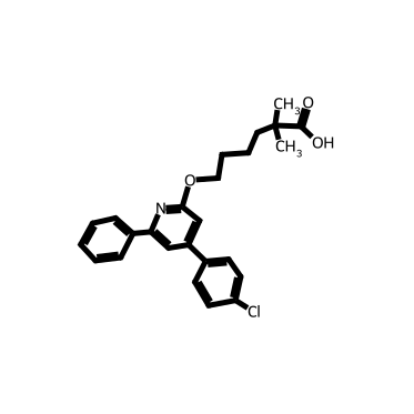 CC(C)(CCCCOc1cc(-c2ccc(Cl)cc2)cc(-c2ccccc2)n1)C(=O)O